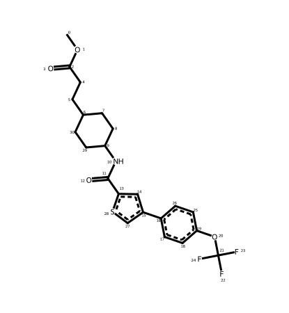 COC(=O)CCC1CCC(NC(=O)c2cc(-c3ccc(OC(F)(F)F)cc3)cs2)CC1